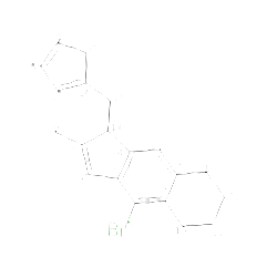 CC1=Cc2c(cc3c(c2Br)CCCC3)C1CC1=CC=CC1